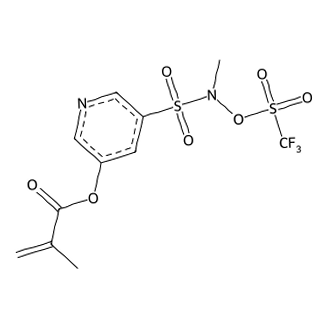 C=C(C)C(=O)Oc1cncc(S(=O)(=O)N(C)OS(=O)(=O)C(F)(F)F)c1